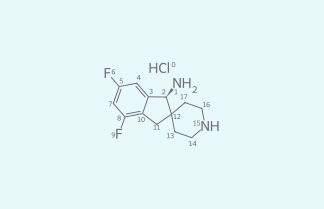 Cl.N[C@@H]1c2cc(F)cc(F)c2CC12CCNCC2